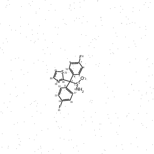 N[S+]([O-])C(c1ccc(F)cc1)(c1ccc(F)cc1)c1nccs1